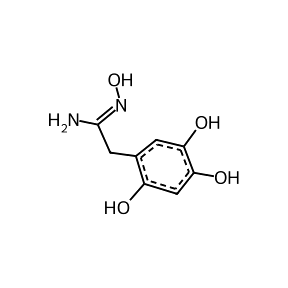 NC(Cc1cc(O)c(O)cc1O)=NO